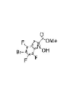 COC(=O)c1cc2c(F)c(Br)c(F)c(F)c2n1O